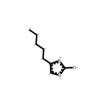 CCCCCc1coc(Cl)n1